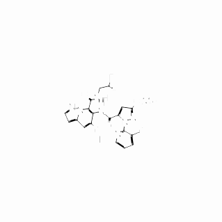 COc1cc(C(=O)Nc2c(C)cc3ccnn3c2C(=O)NCC(F)F)n(-c2ncccc2Cl)n1